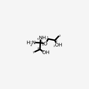 CC(O)COC(N)(N)C(C)O